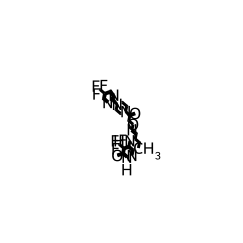 CCC(C=NOCC(=O)N1CCN(c2ncc(C(F)(F)F)cn2)CC1)Nc1cn[nH]c(=O)c1C(F)(F)F